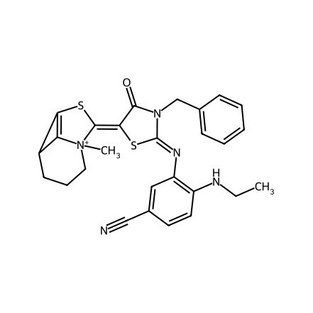 CCNc1ccc(C#N)cc1N=C1SC(=C2SC3=C4C3CCC[N+]24C)C(=O)N1Cc1ccccc1